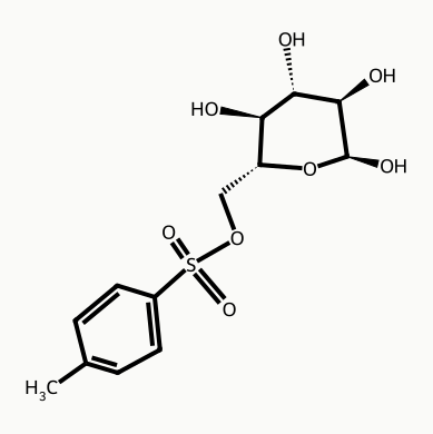 Cc1ccc(S(=O)(=O)OC[C@H]2O[C@H](O)[C@H](O)[C@@H](O)[C@@H]2O)cc1